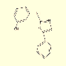 N#Cc1cccc(Nc2ncc(-c3ccccc3)o2)c1